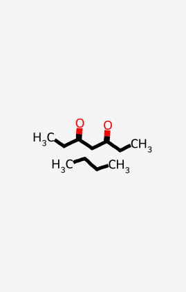 CCC(=O)CC(=O)CC.CCCC